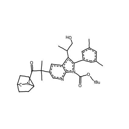 Cc1cc(C)cc(-c2c(C(C)CO)c3cc(C(C)(C)C(=O)N4CC5CCC4CC5)cnc3n2C(=O)OC(C)(C)C)c1